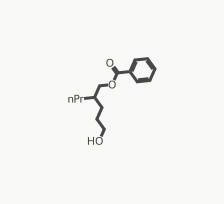 CCCC(CCCO)COC(=O)c1ccccc1